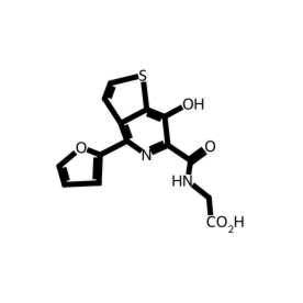 O=C(O)CNC(=O)c1nc(-c2ccco2)c2ccsc2c1O